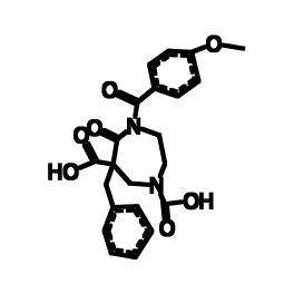 COc1ccc(C(=O)N2CCN(C(=O)O)CC(Cc3ccccc3)(C(=O)O)C2=O)cc1